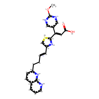 COc1ncc(C(=CC(=O)O)c2nc(/C=C/CCc3ccc4cccnc4n3)cs2)cn1